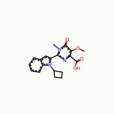 COc1c(C(=O)O)nc(-c2cc3ccccc3n2C2CCC2)n(C)c1=O